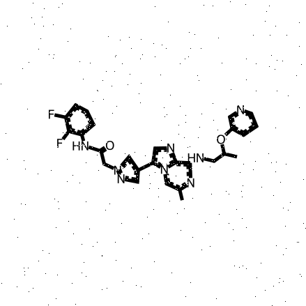 Cc1cn2c(-c3cnn(CC(=O)Nc4cccc(F)c4F)c3)cnc2c(NCC(C)Oc2cccnc2)n1